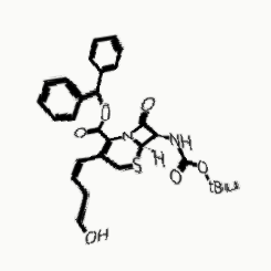 CC(C)(C)OC(=O)N[C@@H]1C(=O)N2C(C(=O)OC(c3ccccc3)c3ccccc3)=C(/C=C\CCO)CS[C@H]12